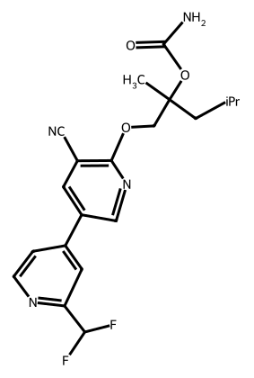 CC(C)CC(C)(COc1ncc(-c2ccnc(C(F)F)c2)cc1C#N)OC(N)=O